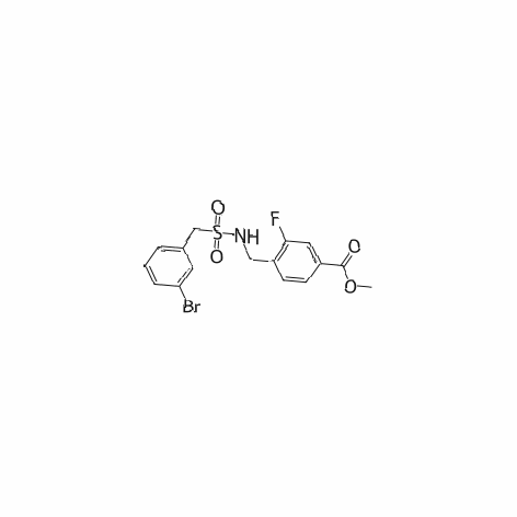 COC(=O)c1ccc(CNS(=O)(=O)Cc2cccc(Br)c2)c(F)c1